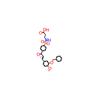 COc1ccc(/C=C/C(=O)c2ccc(S(=O)(=O)NCCC(=O)O)cc2)cc1OCc1ccccc1